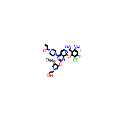 C=CC(=O)N1CCN(c2nc(O[C@@H]3CN(CCO)C[C@H]3OC)nc3c(Oc4c(Cl)c(F)cc(N)c4C=N)nccc23)CC1